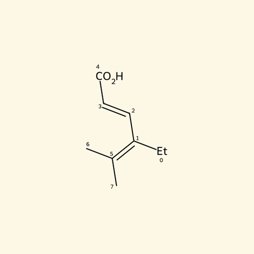 CCC(C=CC(=O)O)=C(C)C